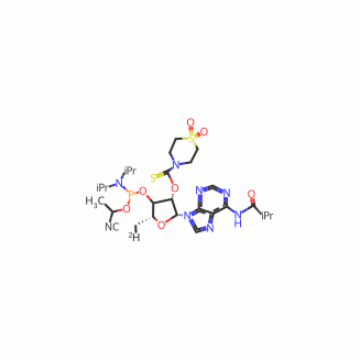 [2H]C[C@H]1O[C@@H](n2cnc3c(NC(=O)C(C)C)ncnc32)[C@@H](OC(=S)N2CCS(=O)(=O)CC2)C1OP(OC(C)[N+]#[C-])N(C(C)C)C(C)C